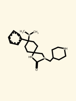 CN(C)C1(c2ccccc2)CCC2(CC1)CN(CC1CCNCC1)C(=O)N2